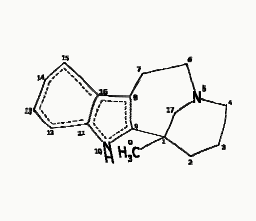 CC12CCCN(CCc3c1[nH]c1ccccc31)C2